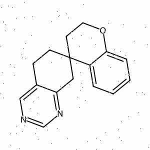 c1ccc2c(c1)OCCC21CCc2cncnc2C1